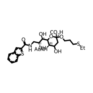 CCSCCCO[C@]1(C(=O)O)CC(O)[C@@H](NC(C)=O)C([C@H](O)[C@H](O)CNC(=O)c2cc3ccccc3s2)O1